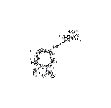 CO[C@@H](Cc1ccccc1)[C@@H](C)/C=C(C)/C=C/[C@H]1NC(=O)[C@H](CCCNC(=N)N)NC(=O)[C@@H](C)[C@H](C(=O)O)NC(=O)[C@H](CC(C)C)NC(=O)[C@@H](C)NC(=O)C(CSCCC(=O)NCCCOCCCNc2cc(-n3nc(C)c4c3CC(C)(C)CC4=O)ccc2C(N)=O)N(C)C(=O)CC[C@H](C(=O)O)NC(=O)[C@H]1C